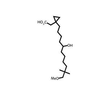 COCC(C)(C)CCCCC(O)CCCCC1(CC(=O)O)CC1